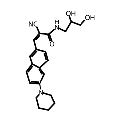 N#C/C(=C/c1ccc2cc(N3CCCCC3)ccc2c1)C(=O)NCC(O)CO